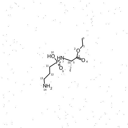 CCOC(=O)[C@H](C)NP(=O)(O)CCCN